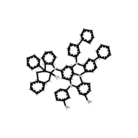 CC(C)(C)c1cccc(N2c3cc(C(C)(C)C)ccc3B3c4ccc(-c5ccccc5)cc4N(c4cccc(-c5ccccc5)c4)c4cc(N5c6ccccc6C6(c7ccccc7)Cc7ccccc7CC56C)cc2c43)c1